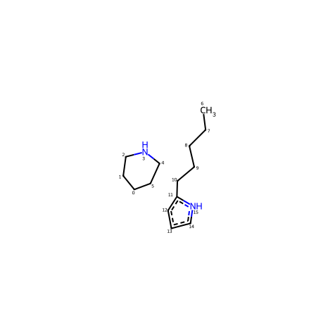 C1CCNCC1.CCCCCc1ccc[nH]1